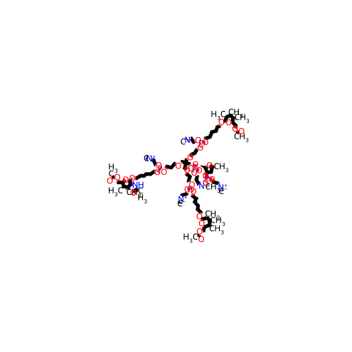 [C-]#[N+]CCOP(OCCCCCCO[C@@H]1OC(COC(C)=O)[C@H](C)[C@H](C)C1C)OCCCOCC(COCCCOP(OCCCCCCO[C@@H]1OC(COC(C)=O)[C@H](C)[C@H](C)C1C)OCC[N+]#[C-])(COCCCOP(OCCCCCCO[C@@H]1OC(COC(C)=O)[C@H](C)[C@H](C)C1NC(C)=O)OCC[N+]#[C-])COP(=O)(OCCC#N)OC[C@H]1O[C@@H](C)CC1OP(OC)OCC[N+]#[C-]